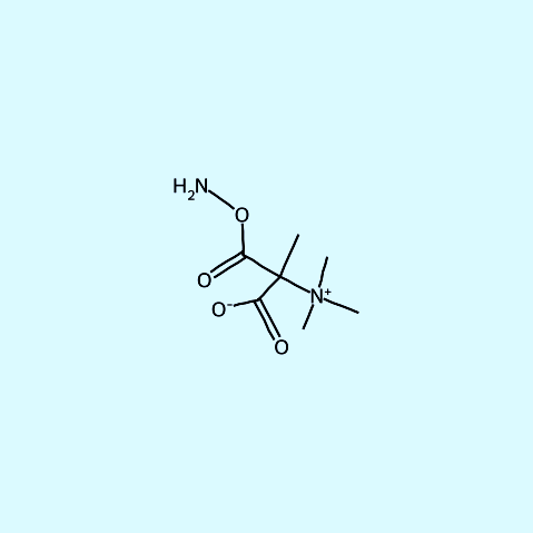 CC(C(=O)[O-])(C(=O)ON)[N+](C)(C)C